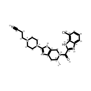 C[C@@H]1Cc2nc(N3CCN(CCC#N)CC3)sc2CN1C(=O)c1nc2cccc(Cl)c2[nH]1